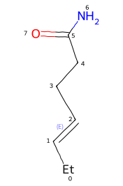 CC/C=C/CCC(N)=O